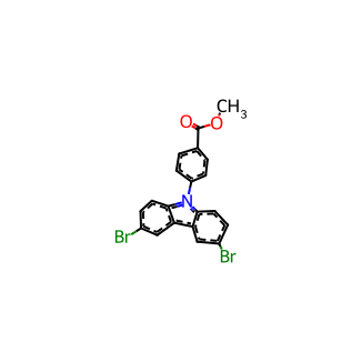 COC(=O)c1ccc(-n2c3ccc(Br)cc3c3cc(Br)ccc32)cc1